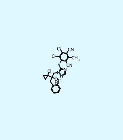 Cc1c(C#N)c(Cl)c(Cl)c(Sc2ncnn2CC(O)(Cc2ccccc2Cl)C2(Cl)CC2)c1C#N